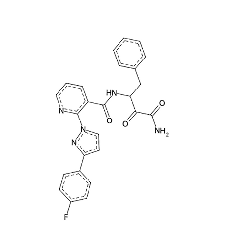 NC(=O)C(=O)C(Cc1ccccc1)NC(=O)c1cccnc1-n1ccc(-c2ccc(F)cc2)n1